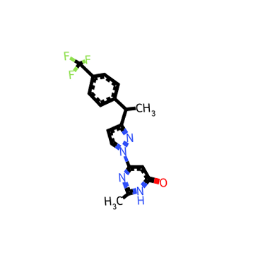 Cc1nc(-n2ccc(C(C)c3ccc(C(F)(F)F)cc3)n2)cc(=O)[nH]1